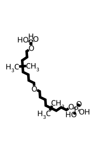 CC(C)(CCCCOCCCCC(C)(C)CCCOP(=O)(O)O)CCCO[PH](=O)O